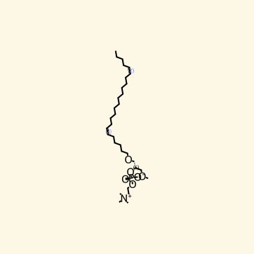 CCCC/C=C\CCCCCCCCCC/C=C\CCCCCOC[C@H](COC)OP(=O)([O-])OCC[N+](C)(C)C